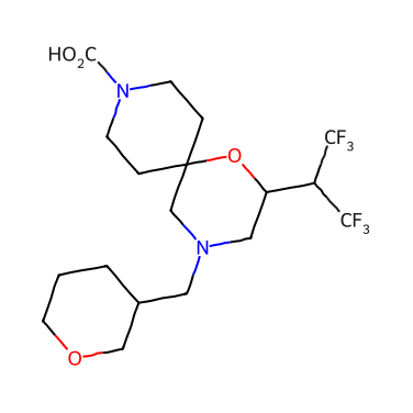 O=C(O)N1CCC2(CC1)CN(CC1CCCOC1)CC(C(C(F)(F)F)C(F)(F)F)O2